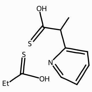 CC(C(O)=S)c1ccccn1.CCC(O)=S